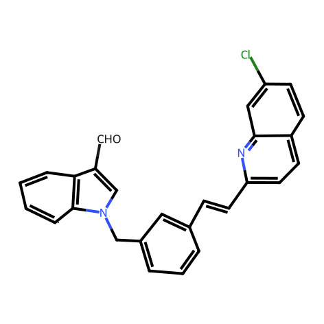 O=Cc1cn(Cc2cccc(C=Cc3ccc4ccc(Cl)cc4n3)c2)c2[c]cccc12